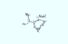 C=CC(F)c1ccccc1.[NaH]